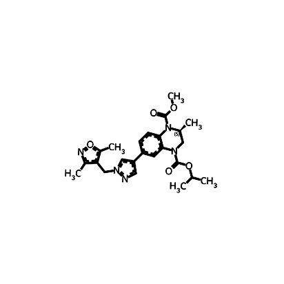 COC(=O)N1c2ccc(-c3cnn(Cc4c(C)noc4C)c3)cc2N(C(=O)OC(C)C)C[C@@H]1C